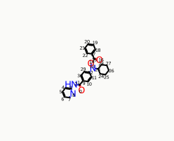 O=C(Nc1ccccn1)c1ccc(N(OC(=O)c2ccccc2)C2CCCCC2)cc1